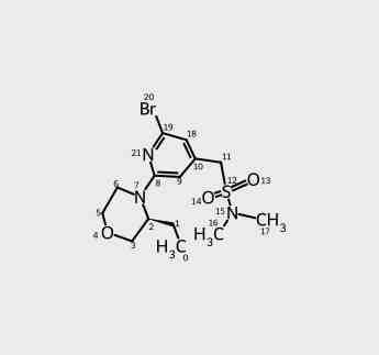 CC[C@H]1COCCN1c1cc(CS(=O)(=O)N(C)C)cc(Br)n1